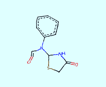 O=CN(c1ccccc1)C1NC(=O)CS1